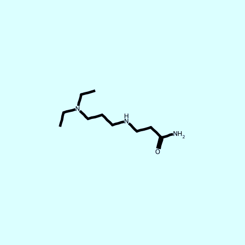 CCN(CC)CCCNCCC(N)=O